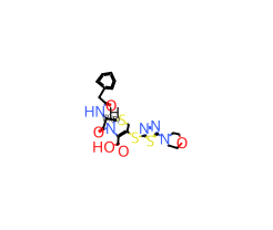 O=C(Cc1ccccc1)N[C@@H]1C(=O)N2C(C(=O)O)=C(Sc3nnc(N4CCOCC4)s3)CS[C@H]12